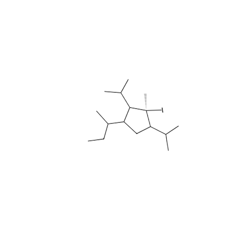 CCC(C)C1CC(C(C)C)[C@](C)(I)C1C(C)C